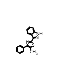 Cc1sc(-c2n[nH]c3ccccc23)nc1-c1ccccc1